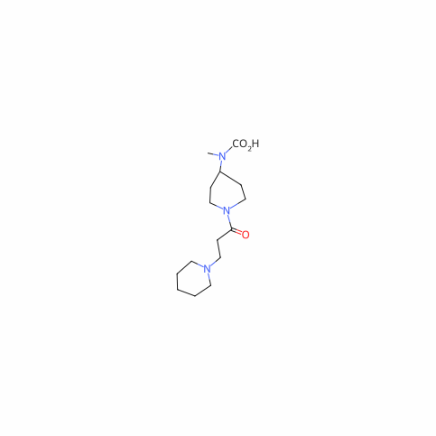 CN(C(=O)O)C1CCN(C(=O)CCN2CCCCC2)CC1